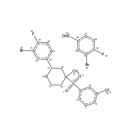 CC1(S(=O)(=O)c2cccc(C(F)(F)F)c2)CCOC(c2ccc(F)c(Br)c2)C1.O=Cc1ccc(F)c(Br)c1